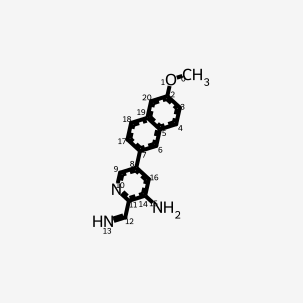 COc1ccc2cc(-c3cnc(C=N)c(N)c3)ccc2c1